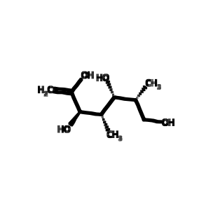 C=C(O)[C@H](O)[C@@H](C)[C@H](O)[C@H](C)CO